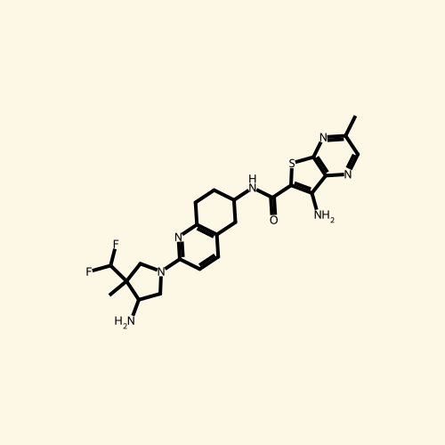 Cc1cnc2c(N)c(C(=O)NC3CCc4nc(N5CC(N)C(C)(C(F)F)C5)ccc4C3)sc2n1